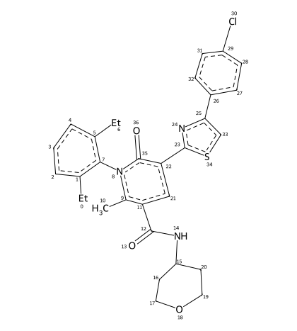 CCc1cccc(CC)c1-n1c(C)c(C(=O)NC2CCOCC2)cc(-c2nc(-c3ccc(Cl)cc3)cs2)c1=O